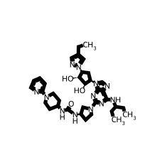 CCc1cnn([C@H]2C[C@@H](n3cnc4c(NC(CC)CC)nc(N5CC[C@@H](NC(=O)NC6CCN(c7ccccn7)CC6)C5)nc43)[C@H](O)[C@@H]2O)c1